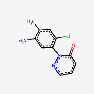 Cc1cc(Cl)c(-n2ncccc2=O)cc1N